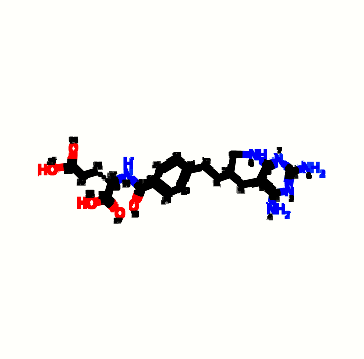 Nc1nc(N)c2c(n1)NCC(CCc1ccc(C(=O)N[C@@H](CCC(=O)O)C(=O)O)cc1)C2